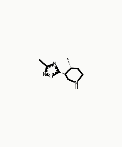 Cc1noc([C@H]2CNCC[C@H]2C)n1